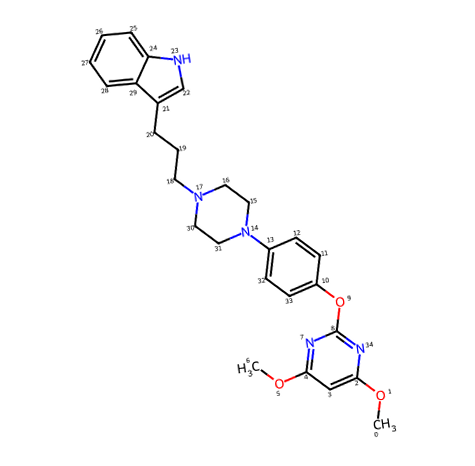 COc1cc(OC)nc(Oc2ccc(N3CCN(CCCc4c[nH]c5ccccc45)CC3)cc2)n1